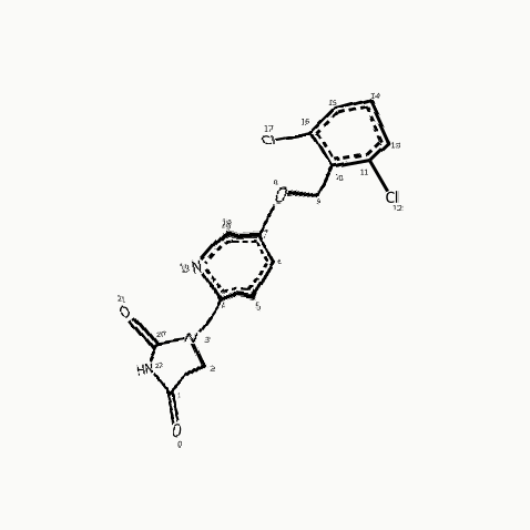 O=C1CN(c2ccc(OCc3c(Cl)cccc3Cl)cn2)C(=O)N1